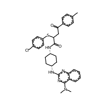 Cc1ccc(C(=O)CC(Sc2ccc(Cl)cc2)C(=O)N[C@H]2CC[C@@H](Nc3nc(N(C)C)c4ccccc4n3)CC2)cc1